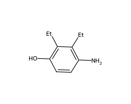 CCc1c(N)ccc(O)c1CC